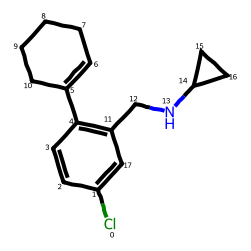 Clc1ccc(C2=CCCCC2)c(CNC2CC2)c1